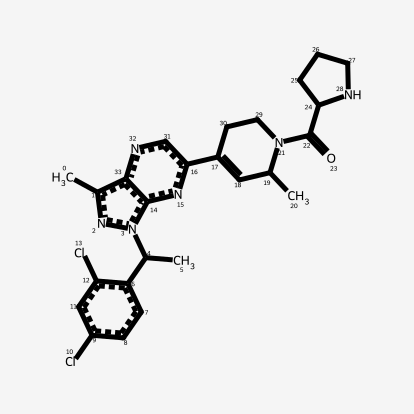 Cc1nn(C(C)c2ccc(Cl)cc2Cl)c2nc(C3=CC(C)N(C(=O)C4CCCN4)CC3)cnc12